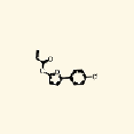 C=CC(=O)Oc1ccc(-c2ccc(Cl)cc2)o1